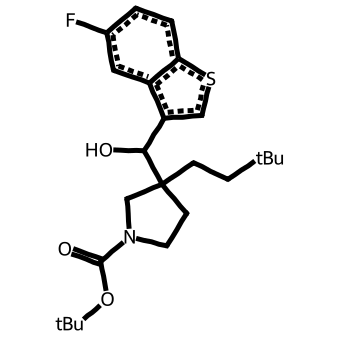 CC(C)(C)CCC1(C(O)c2csc3ccc(F)cc23)CCN(C(=O)OC(C)(C)C)C1